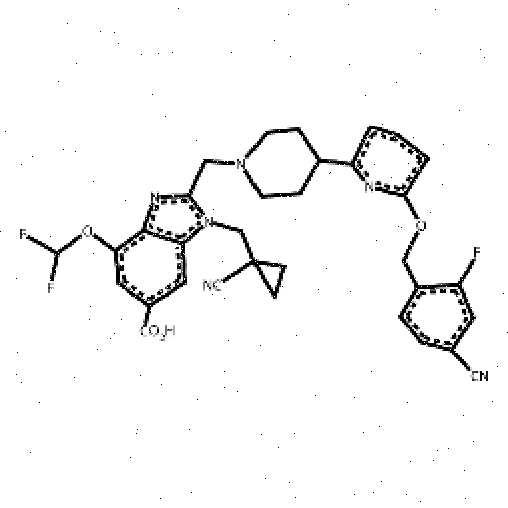 N#Cc1ccc(COc2cccc(C3CCN(Cc4nc5c(OC(F)F)cc(C(=O)O)cc5n4CC4(C#N)CC4)CC3)n2)c(F)c1